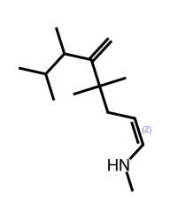 C=C(C(C)C(C)C)C(C)(C)C/C=C\NC